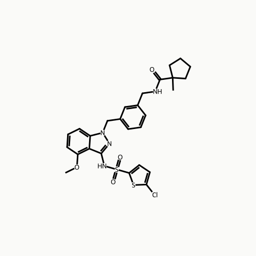 COc1cccc2c1c(NS(=O)(=O)c1ccc(Cl)s1)nn2Cc1cccc(CNC(=O)C2(C)CCCC2)c1